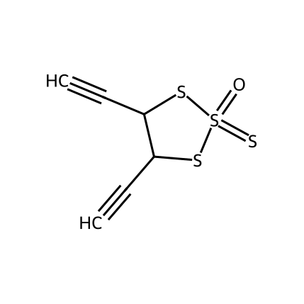 C#CC1SS(=O)(=S)SC1C#C